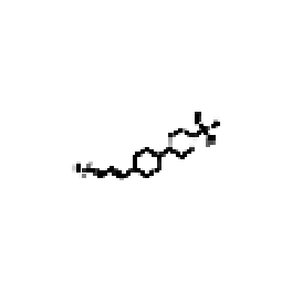 C=CC=CC1CCC(C2CCC(C(F)(F)F)CC2)CC1